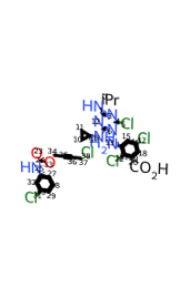 CC(C)Nc1nc(Cl)nc(NC2CC2)n1.Nc1cc(Cl)cc(C(=O)O)c1Cl.O=C(Nc1cccc(Cl)c1)OCC#CCCl